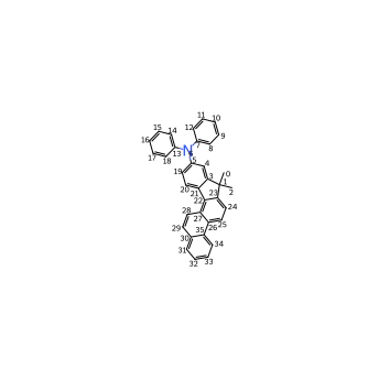 CC1(C)c2cc(N(c3ccccc3)c3ccccc3)ccc2-c2c1ccc1c2ccc2ccccc21